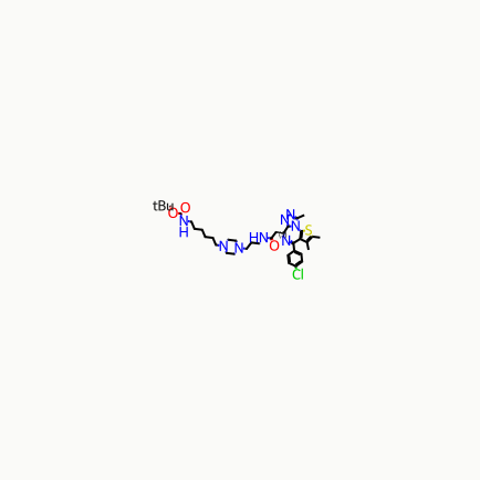 Cc1sc2c(c1C)C(c1ccc(Cl)cc1)=N[C@@H](CC(=O)NCCCN1CCN(CCCCCCNC(=O)OC(C)(C)C)CC1)c1nnc(C)n1-2